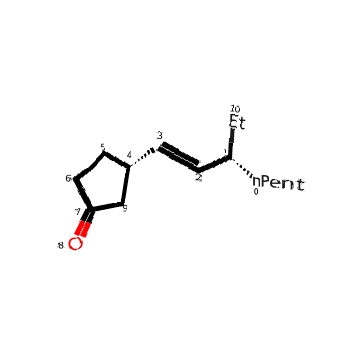 CCCCC[C@H](/C=C/[C@H]1CCC(=O)C1)CC